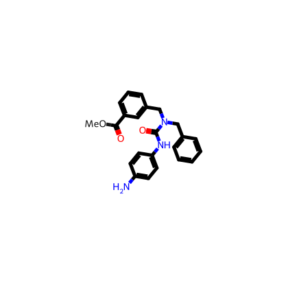 COC(=O)c1cccc(CN(Cc2ccccc2)C(=O)Nc2ccc(N)cc2)c1